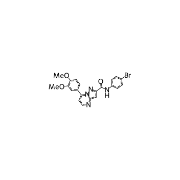 COc1ccc(-c2ccnc3cc(C(=O)Nc4ccc(Br)cc4)nn23)cc1OC